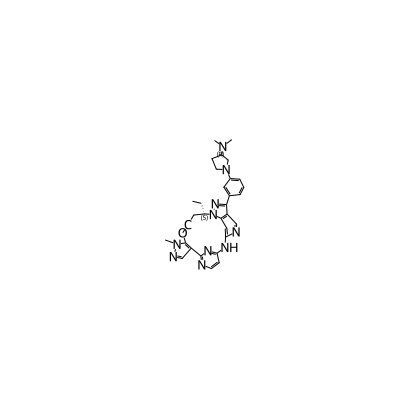 CC[C@H]1CCOc2c(cnn2C)-c2nccc(n2)Nc2cc3c(cn2)c(-c2cccc(N4CC[C@@H](N(C)C)C4)c2)nn31